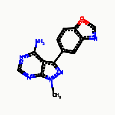 Cn1nc(-c2ccc3ocnc3c2)c2c(N)ncnc21